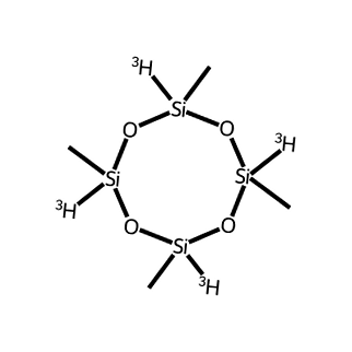 [3H][Si]1(C)O[Si]([3H])(C)O[Si]([3H])(C)O[Si]([3H])(C)O1